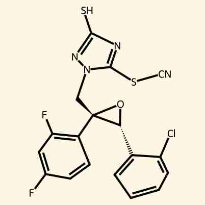 N#CSc1nc(S)nn1C[C@@]1(c2ccc(F)cc2F)O[C@@H]1c1ccccc1Cl